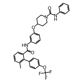 Cc1cccc(C(=O)Nc2cccc(OC3CCN(C(=O)Nc4ccccc4)CC3)c2)c1-c1ccc(OC(F)(F)F)cc1